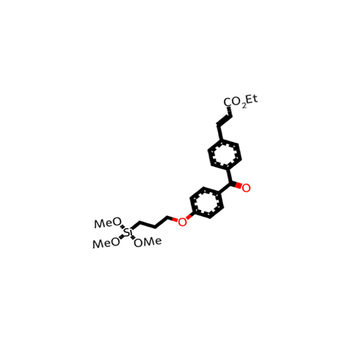 CCOC(=O)C=Cc1ccc(C(=O)c2ccc(OCCC[Si](OC)(OC)OC)cc2)cc1